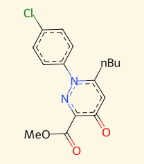 CCCCc1cc(=O)c(C(=O)OC)nn1-c1ccc(Cl)cc1